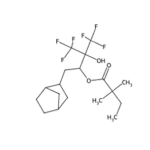 CCC(C)(C)C(=O)OC(CC1CC2CCC1C2)C(O)(C(F)(F)F)C(F)(F)F